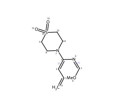 C=C/C=C(\N=C/OC)N1CCS(=O)(=O)CC1